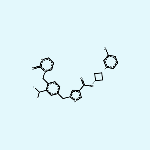 O=C(N[C@H]1C[C@@H](c2cccc(Cl)c2)C1)c1cnn(Cc2ccc(Cn3cccnc3=O)c(C(F)F)c2)c1